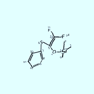 C[Si](C)(C)OC(Sc1ccccc1)=C(F)F